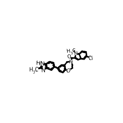 Cc1nc2cc(-c3ccc4c(c3)CN(C(=O)C3=CC5C=C(Cl)C=CC5N3C)CCO4)ccc2[nH]1